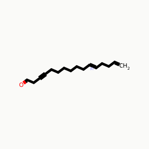 C=CCC/C=C/CCCCCCC#CCC=O